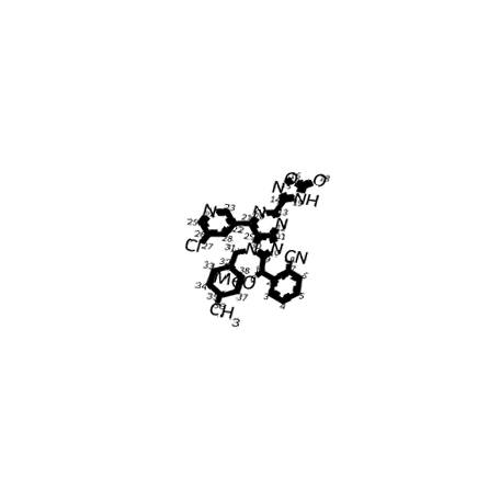 COC(c1ccccc1C#N)c1nc2nc(-c3noc(=O)[nH]3)nc(-c3cncc(Cl)c3)c2n1CC1CCC(C)CC1